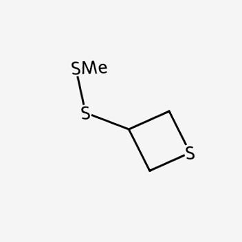 CSSC1CSC1